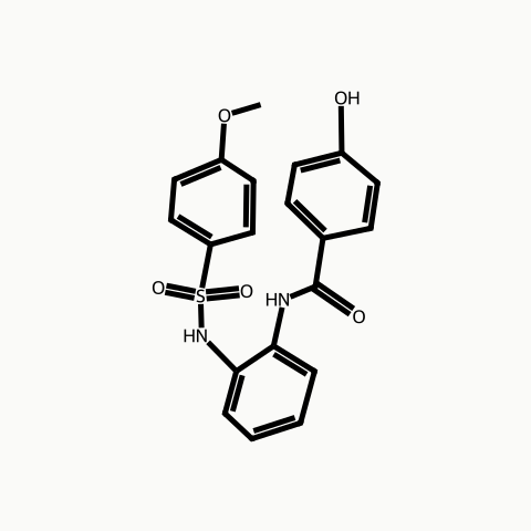 COc1ccc(S(=O)(=O)Nc2ccccc2NC(=O)c2ccc(O)cc2)cc1